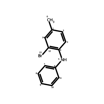 Cc1ccc(Nc2ccccc2)c(Br)c1